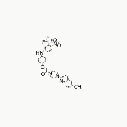 Cc1ccc2nc(N3CCN(C(=O)CO[C@H]4CC[C@H](Nc5ccc([N+](=O)[O-])c(C(F)(F)F)c5)CC4)CC3)ccc2c1